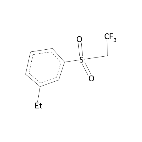 CCc1cccc(S(=O)(=O)CC(F)(F)F)c1